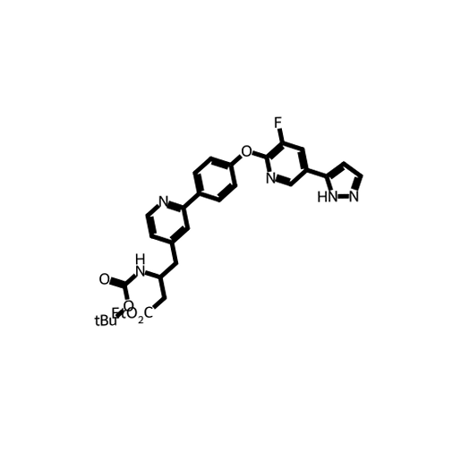 CCOC(=O)CC(Cc1ccnc(-c2ccc(Oc3ncc(-c4ccn[nH]4)cc3F)cc2)c1)NC(=O)OC(C)(C)C